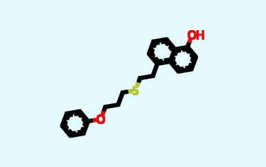 Oc1cccc2c(CCSCCCOc3ccccc3)cccc12